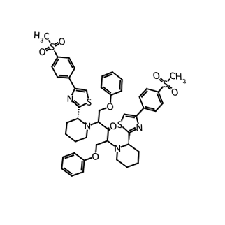 CS(=O)(=O)c1ccc(-c2csc([C@H]3CCCCN3C(COc3ccccc3)C(=O)C(COc3ccccc3)N3CCCC[C@@H]3c3nc(-c4ccc(S(C)(=O)=O)cc4)cs3)n2)cc1